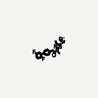 Cc1nc(N(C)C(=O)Cc2ccc(-c3cc(F)ccc3F)cc2)sc1[S+](C)[O-]